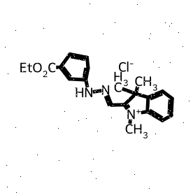 CCOC(=O)c1cccc(NN=CC2=[N+](C)c3ccccc3C2(C)C)c1.[Cl-]